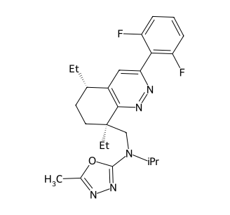 CC[C@H]1CC[C@](CC)(CN(c2nnc(C)o2)C(C)C)c2nnc(-c3c(F)cccc3F)cc21